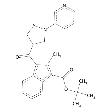 Cc1c(C(=O)C2CSN(c3cccnc3)C2)c2ccccc2n1C(=O)OC(C)(C)C